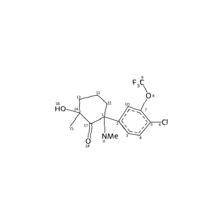 CNC1(c2ccc(Cl)c(OC(F)(F)F)c2)CCCC(C)(O)C1=O